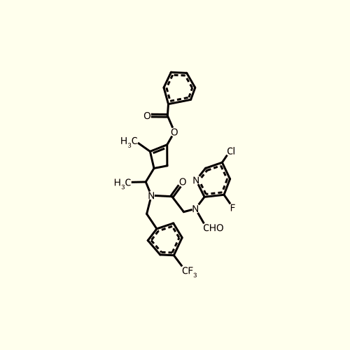 CC1=C(OC(=O)c2ccccc2)CC1C(C)N(Cc1ccc(C(F)(F)F)cc1)C(=O)CN(C=O)c1ncc(Cl)cc1F